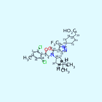 Cc1cc(Cl)c(C(=O)CN(C(=O)c2cnn(C3CCC(CC(=O)O)CC3)c2C(F)(F)F)C2C[C@@H]3[C@H](C2)C3(C)C)c(Cl)c1